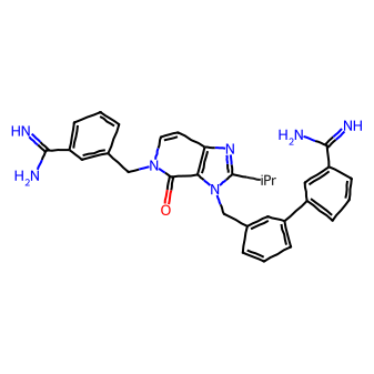 CC(C)c1nc2ccn(Cc3cccc(C(=N)N)c3)c(=O)c2n1Cc1cccc(-c2cccc(C(=N)N)c2)c1